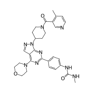 CNC(=O)Nc1ccc(-c2nc(N3CCOCC3)c3cnn(C4CCN(C(=O)c5cnccc5C)CC4)c3n2)cc1